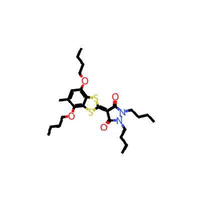 CCCCOc1cc(C)c(OCCCC)c2c1SC(=C1C(=O)N(CCCC)N(CCCC)C1=O)S2